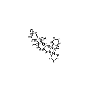 O=C(N1CCCCC1)C1(c2ccccc2)CCN(CC2CC2(C(=O)O)c2ccc(Cl)cc2)CC1